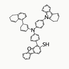 Sc1ccc2c(oc3ccccc32)c1-c1ccc(N(C2=CC(c3cccc4c3C=CCC4)CC=C2)c2ccc(-n3c4c(c5ccccc53)C=CCC4)cc2)cc1